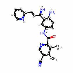 Cc1c(C#N)cnc(C(=O)Nc2ccc(N)c(C(=N)/C=C/c3ccccn3)c2)c1C